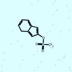 O=S(=O)(OC1=CC2=CC=CCC2=C1)C(F)(F)F